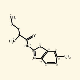 CCCC(N)C(=O)Nc1nc2ccc(C)cc2s1